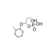 CCC(Oc1ccccc1C)OP(=O)(O)O